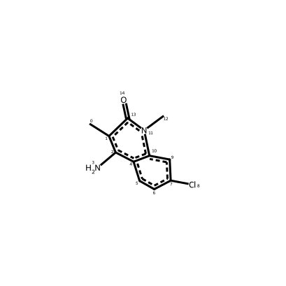 Cc1c(N)c2ccc(Cl)cc2n(C)c1=O